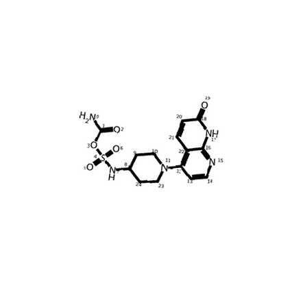 NC(=O)OS(=O)(=O)NC1CCN(c2ccnc3[nH]c(=O)ccc23)CC1